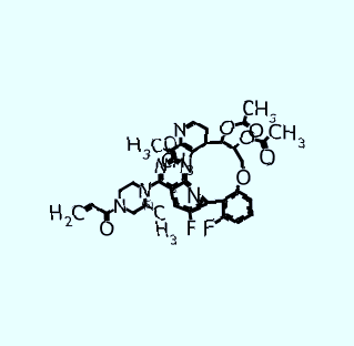 C=CC(=O)N1CCN(c2nc(=O)n3c4nc(c(F)cc24)-c2c(F)cccc2OCC(OC(C)=O)C(OC(C)=O)C2CC=NC(C(C)C)=C23)[C@@H](C)C1